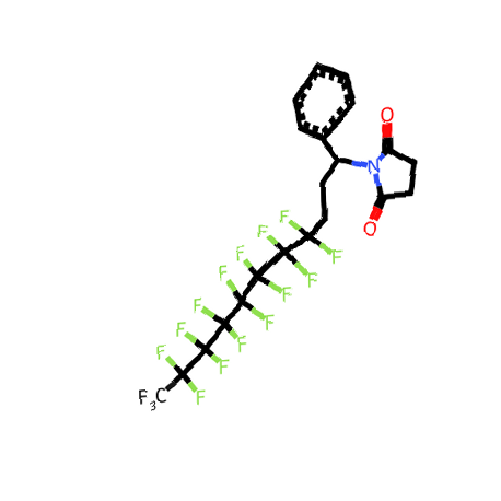 O=C1CCC(=O)N1[C](CCC(F)(F)C(F)(F)C(F)(F)C(F)(F)C(F)(F)C(F)(F)C(F)(F)C(F)(F)F)c1ccccc1